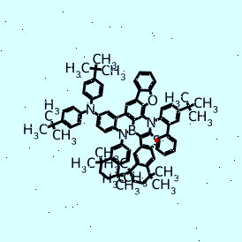 CC(C)(C)c1ccc(N(c2ccc(C(C)(C)C)cc2)c2ccc3c(c2)-c2cc4c(oc5ccccc54)c4c2B(c2c(sc5cc6c(cc25)C(C)(C)CCC6(C)C)N4c2ccc(C(C)(C)C)cc2-c2ccccc2)N3c2ccc3c(c2)C(C)(C)CCC3(C)C)cc1